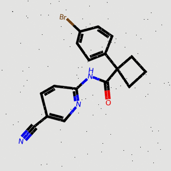 N#Cc1ccc(NC(=O)C2(c3ccc(Br)cc3)CCC2)nc1